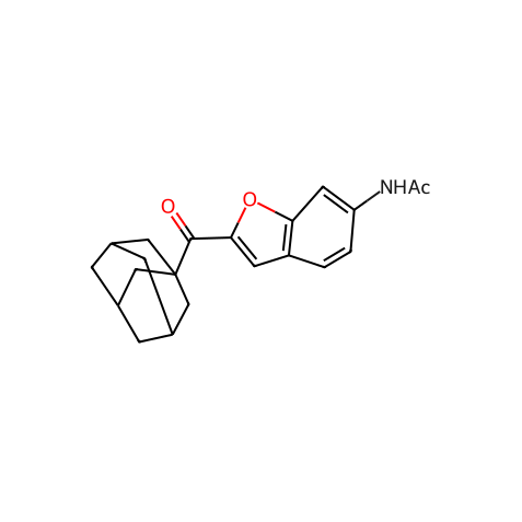 CC(=O)Nc1ccc2cc(C(=O)C34CC5CC(CC(C5)C3)C4)oc2c1